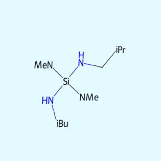 CCC(C)N[Si](NC)(NC)NCC(C)C